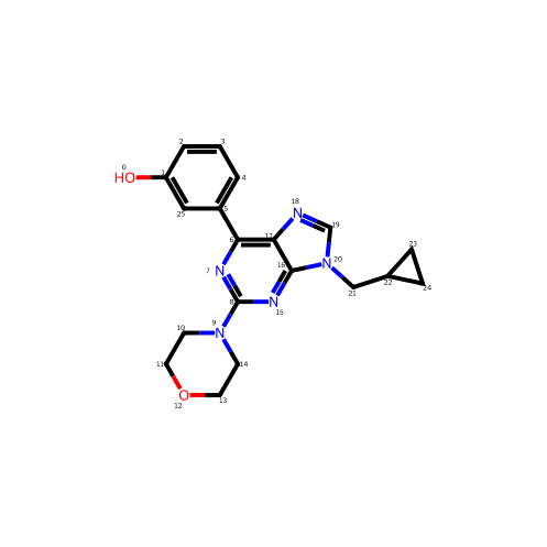 Oc1cccc(-c2nc(N3CCOCC3)nc3c2ncn3CC2CC2)c1